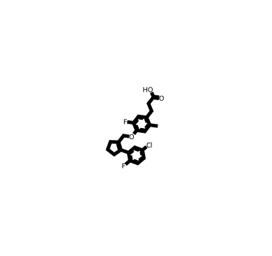 Cc1cc(OCC2=C(c3cc(Cl)ccc3F)CCC2)c(F)cc1CCC(=O)O